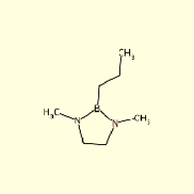 CCCB1N(C)CCN1C